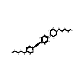 CCCCCc1ccc(C#Cc2ccc([C@H]3CC[C@H](CCCCC)CC3)cc2)nc1